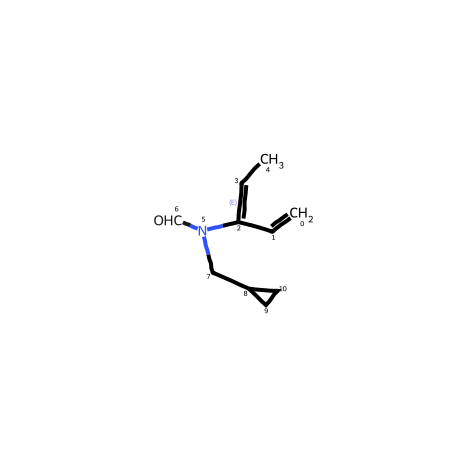 C=C/C(=C\C)N(C=O)CC1CC1